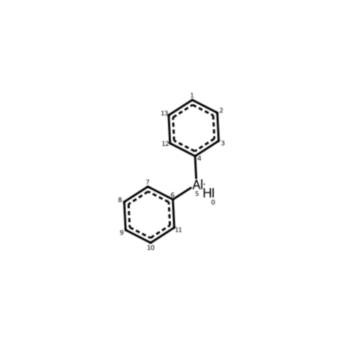 I.c1cc[c]([Al][c]2ccccc2)cc1